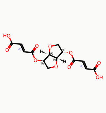 O=C(O)/C=C/C(=O)O[C@H]1CO[C@H]2[C@@H]1OC[C@H]2OC(=O)/C=C/C(=O)O